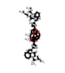 COC(=O)N[C@@H](CCSC)C(=O)N1C2CCCCC[C@H]2C[C@H]1c1nc(-c2ccc(C3=CC4=CC[C@]3(C)C[C@@H](C)c3ccc(c(-c5ccc(-c6c[nH]c([C@@H]7C[C@@H]8CCCC[C@@H]8N7C(=O)[C@H](CCSC)NC(=O)OC)n6)cc5)c3)CC4)cc2)c[nH]1